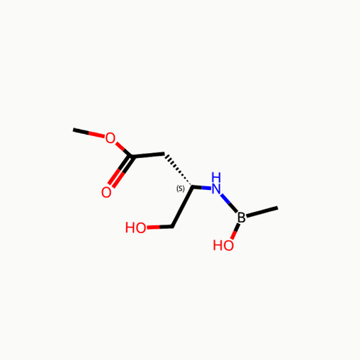 COC(=O)C[C@@H](CO)NB(C)O